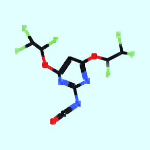 O=C=Nc1nc(OC(F)C(F)F)cc(OC(F)C(F)F)n1